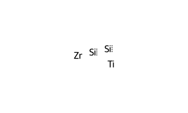 [Si].[Si].[Ti].[Zr]